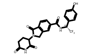 O=C1CCC(N2Cc3cc(C(=O)N[C@H](c4ccc(O)cc4)C(F)(F)F)ccc3C2=O)C(=O)N1